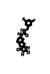 O=C(NCc1cc(F)cc(F)c1)Nc1ccc2c(c1)CC1(C2)NC(=O)NC1=O